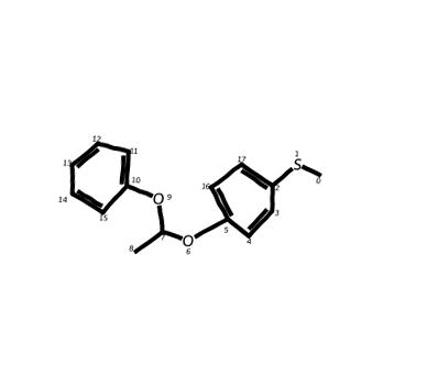 CSc1ccc(OC(C)Oc2ccccc2)cc1